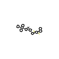 CC1(C)c2ccc(-c3cccc4c3sc3cc5c(cc34)sc3ccc4ccccc4c35)cc2-c2ccc(-c3c4ccccc4c(-c4ccccc4)c4ccccc34)cc21